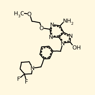 COCCOc1nc(N)c2nc(O)n(Cc3cccc(CN4CCCC(F)(F)C4)c3)c2n1